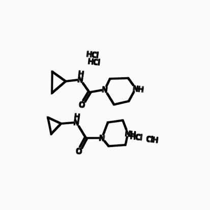 Cl.Cl.Cl.Cl.O=C(NC1CC1)N1CCNCC1.O=C(NC1CC1)N1CCNCC1